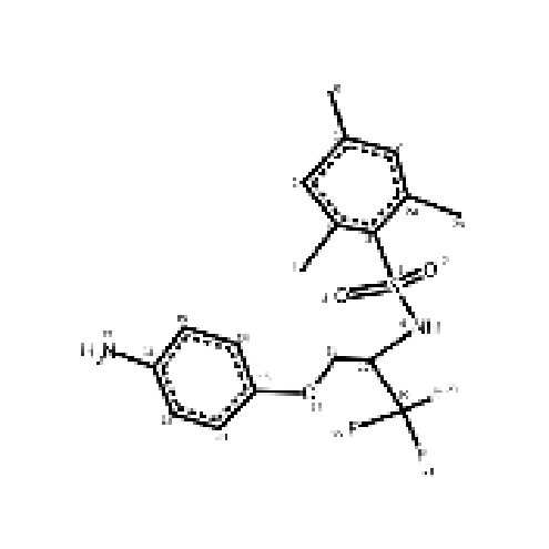 Cc1cc(C)c(S(=O)(=O)NC(COc2ccc(N)cc2)C(F)(F)F)c(C)c1